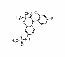 CC1(C)Oc2cc(NS(C)(=O)=O)ccc2N(c2ccc(F)cc2Cl)C1=O